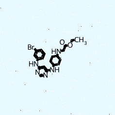 CCOC(=O)CNC1CCC(Nc2cc(Nc3cccc(Br)c3)ncn2)CC1